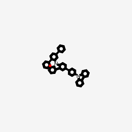 c1ccc(-c2ccc(-c3ccccc3)c(-n3c4ccccc4c4cc(-c5ccc(-n6c7ccccc7c7ccccc76)cc5)ccc43)c2)cc1